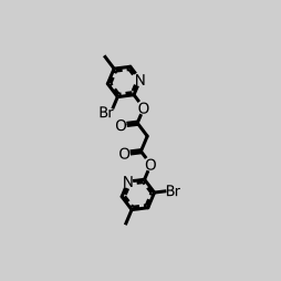 Cc1cnc(OC(=O)CC(=O)Oc2ncc(C)cc2Br)c(Br)c1